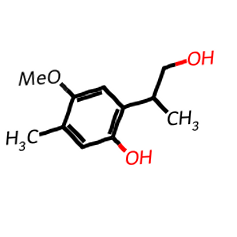 COc1cc(C(C)CO)c(O)cc1C